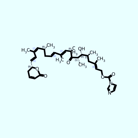 CC(=C/[C@H](C)C/C=C/C(C)=C/[C@@H](C)C(=O)[C@@H](C)[C@H](O)[C@@H](C)C/C(C)=C/COC(=O)n1ccnc1)/C=C/[C@H]1CC=CC(=O)O1